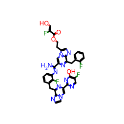 N/C(=N\c1cccc(Cc2nc(-c3ncc(F)c(O)n3)cn3ccnc23)c1F)c1cn2c(CCOC(=O)/C(F)=C/O)cnc2c(Cc2ccccc2F)n1